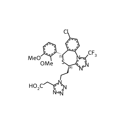 COc1cccc([C@H]2S[C@H](CCn3nnnc3CC(=O)O)c3nnc(C(F)(F)F)n3-c3ccc(Cl)cc32)c1OC